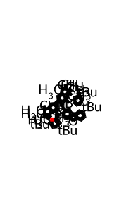 CC(C)(C)c1cc(B2c3cc4oc5ccccc5c4c4c3-n3c5c2c2c(cc5c5cc6c(c(c53)B4c3cc(C(C)(C)C)cc(C(C)(C)C)c3)C(C)(C)C(C)(C)C6(C)C)C(C)(C)C(C)(C)C2(C)C)cc(C(C)(C)C)c1